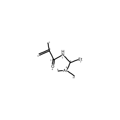 C=C(C)C(=O)NC(CC)[As](C)C